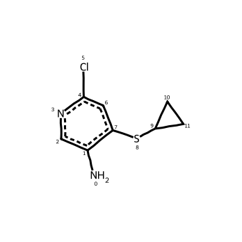 Nc1cnc(Cl)cc1SC1CC1